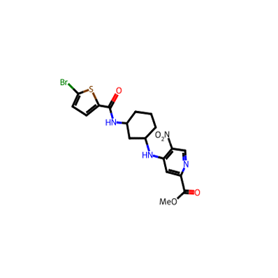 COC(=O)c1cc(NC2CCCC(NC(=O)c3ccc(Br)s3)C2)c([N+](=O)[O-])cn1